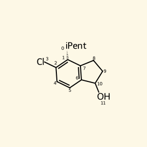 CCC[C@@H](C)c1c(Cl)ccc2c1CCC2O